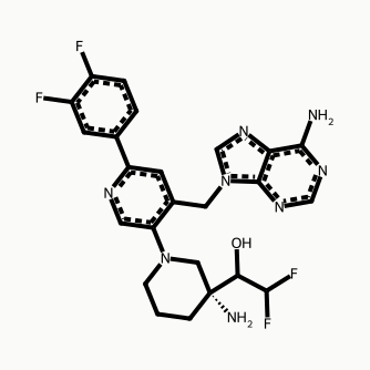 Nc1ncnc2c1ncn2Cc1cc(-c2ccc(F)c(F)c2)ncc1N1CCC[C@](N)(C(O)C(F)F)C1